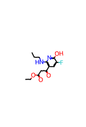 CCCNc1nc(O)c(F)cc1C(=O)CC(=O)OCC